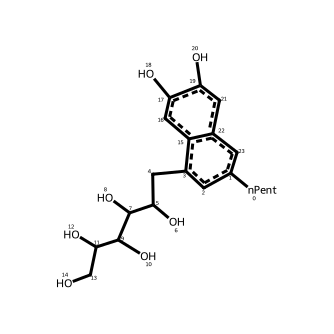 CCCCCc1cc(CC(O)C(O)C(O)C(O)CO)c2cc(O)c(O)cc2c1